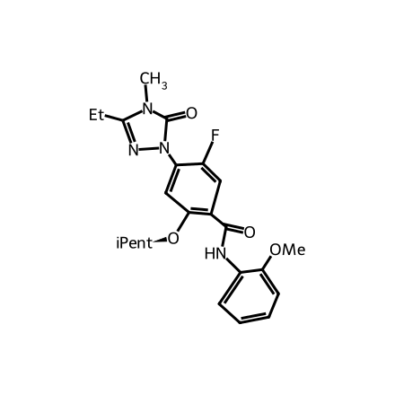 CCC[C@H](C)Oc1cc(-n2nc(CC)n(C)c2=O)c(F)cc1C(=O)Nc1ccccc1OC